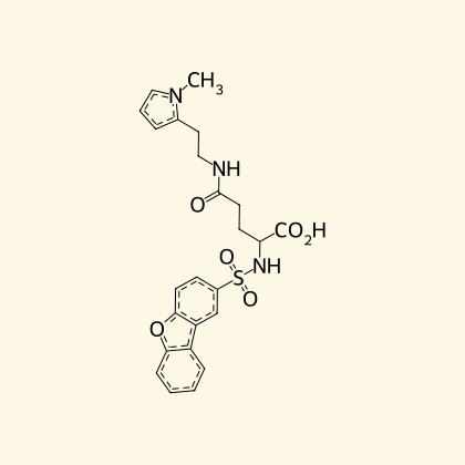 Cn1cccc1CCNC(=O)CCC(NS(=O)(=O)c1ccc2oc3ccccc3c2c1)C(=O)O